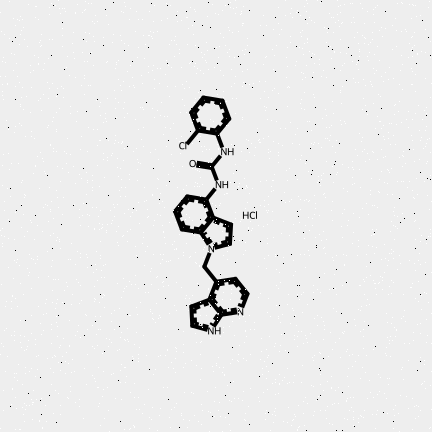 Cl.O=C(Nc1ccccc1Cl)Nc1cccc2c1ccn2Cc1ccnc2[nH]ccc12